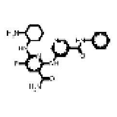 NC(=O)c1cc(F)c(NC2CCCCC2N)nc1Nc1cncc(C(=O)Nc2ccccc2)c1